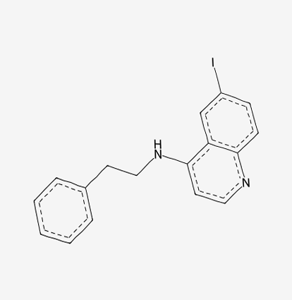 Ic1ccc2nccc(NCCc3ccccc3)c2c1